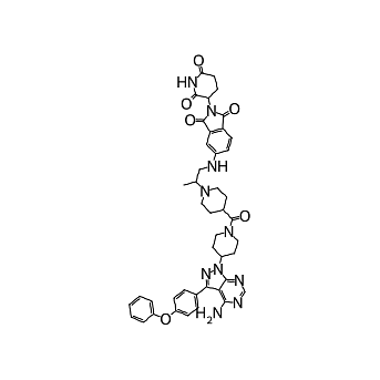 CC(CNc1ccc2c(c1)C(=O)N(C1CCC(=O)NC1=O)C2=O)N1CCC(C(=O)N2CCC(n3nc(-c4ccc(Oc5ccccc5)cc4)c4c(N)ncnc43)CC2)CC1